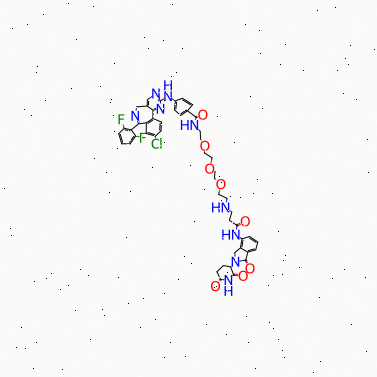 O=C1CCC(N2Cc3c(NC(=O)CCNCCOCCOCCOCCNC(=O)c4ccc(Nc5ncc6c(n5)-c5ccc(Cl)cc5C(c5c(F)cccc5F)=NC6)cc4)cccc3C2=O)C(=O)N1